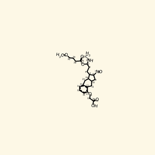 CNC(CCC1C(N=O)CC2Cc3c(cccc3OCC(=O)O)CC21)OC(=O)CCCOC